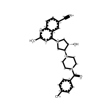 Cc1nc(N2C[C@H](O)[C@@H](N3CCN(C(=O)c4ccc(Cl)cc4)CC3)C2)c2cc(C#N)ccc2n1